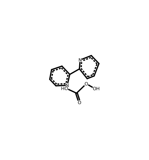 O=C(O)OO.c1ccc(-c2ccccn2)nc1